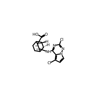 O=C(O)[C@H]1C2CCC(CC2)[C@@H]1Nc1nc(Cl)nn2ccc(Cl)c12